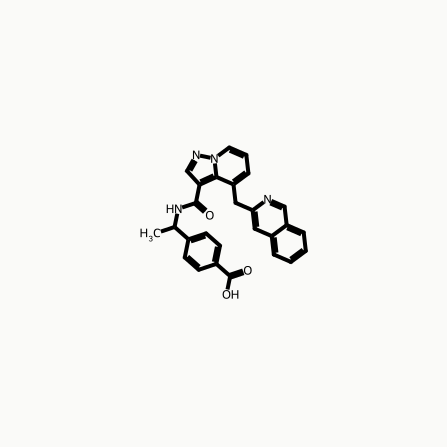 CC(NC(=O)c1cnn2cccc(Cc3cc4ccccc4cn3)c12)c1ccc(C(=O)O)cc1